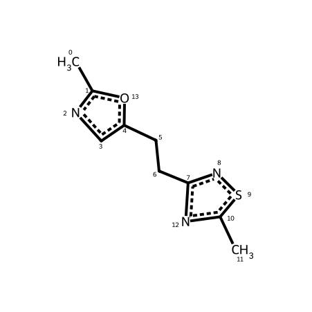 Cc1ncc(CCc2nsc(C)n2)o1